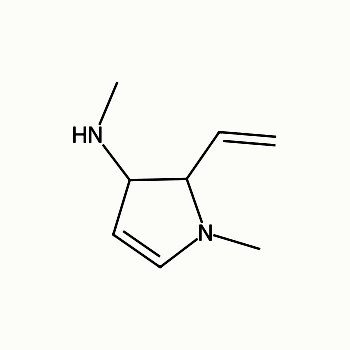 C=CC1C(NC)C=CN1C